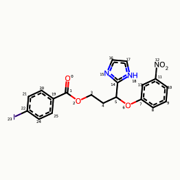 O=C(OCCC(Oc1cccc([N+](=O)[O-])c1)c1ncc[nH]1)c1ccc(I)cc1